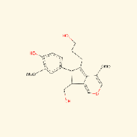 COC1=COC=C2C1=C(CCCO)C(c1ccc(O)c(OC)c1)C2CO